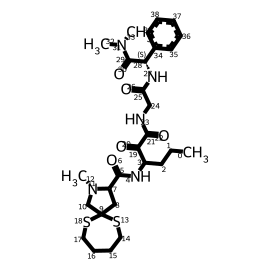 CCCC(NC(=O)C1CC2(CN1C)SCCCCS2)C(=O)C(=O)NCC(=O)N[C@H](C(=O)N(C)C)c1ccccc1